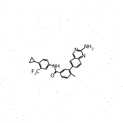 Cc1ccc(C(=O)Nc2ccc(C3CC3)c(C(F)(F)F)c2)cc1-c1ccc2nc(N)ncc2c1